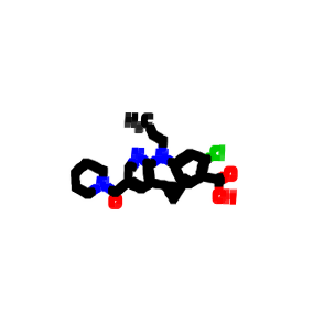 CCCN(c1ccc(C(=O)O)c(Cl)c1)c1ncc(C(=O)N2CCCCC2)cc1C1CC1